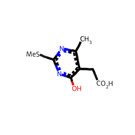 CSc1nc(C)c(CC(=O)O)c(O)n1